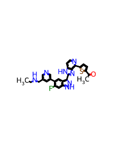 CCNCc1cncc(-c2cc3c(-c4nc5c(-c6ccc(C(C)=O)s6)nccc5[nH]4)n[nH]c3cc2F)c1